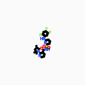 CC1CN(c2ncccc2C(=O)NS(=O)(=O)c2cccc(Nc3cc(F)c(F)cc3F)n2)C(C)(C)C1